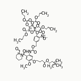 C=CCOC(=O)O[C@@H]1[C@@H](OC(=O)OCC=C)[C@H](Oc2ccc(COC(=O)Nc3cc(OCCCC(=O)OCC[Si](C)(C)C)c(OC)cc3C(=O)N3CCCC[C@H]3C=O)cc2[N+](=O)[O-])O[C@H](C(=O)OCC=C)[C@H]1OC(=O)OCC=C